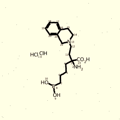 Cl.Cl.NC(CCCCB(O)O)(CCN1CCc2ccccc2C1)C(=O)O